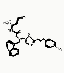 CSCC[C@H](NC(=O)CN(Cc1cccc2ccccc12)C[C@H](CC(C)C)NC(=O)CCCc1ccc([N+](=O)[O-])cc1)C(=O)O